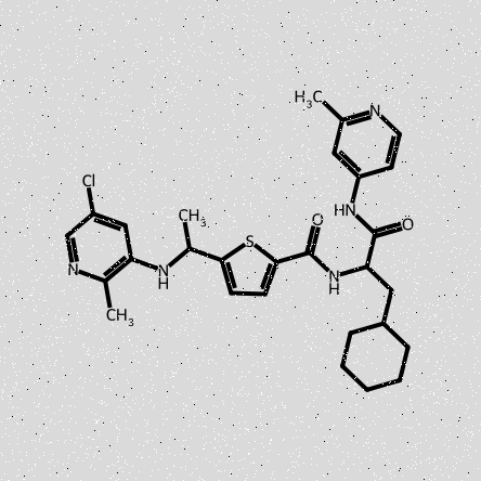 Cc1cc(NC(=O)C(CC2CCCCC2)NC(=O)c2ccc(C(C)Nc3cc(Cl)cnc3C)s2)ccn1